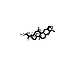 Cn1ncc2c1C=C1CC[C@@H]3[C@H](C(=O)C[C@@]4(C)[C@H]3CC[C@]4(O)C(=O)CO)C1C2